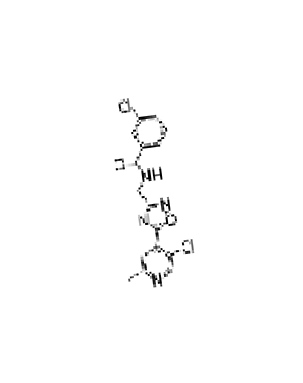 Cc1cc(-c2nc(CNC(=O)c3cccc(Cl)c3)no2)c(Cl)cn1